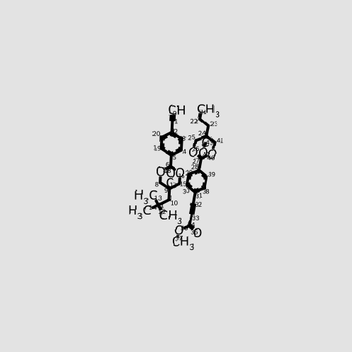 C#Cc1ccc(C23OCC(CC(C)(C)C)(CO2)CO3)cc1.CCCC12COC(c3ccc(C#CC(=O)OC)cc3)(OC1)OC2